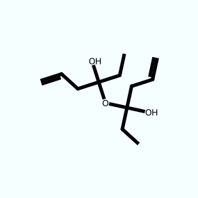 C=CCC(O)(CC)OC(O)(CC)CC=C